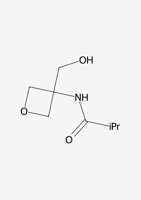 CC(C)C(=O)NC1(CO)COC1